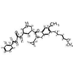 COCCCOc1cc(CN(C(=O)C2CNCC(NC(=O)NCc3ccccc3)C2)C2CC2)ccc1C